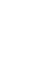 O=C1CC(Cl)Oc2ccccc21